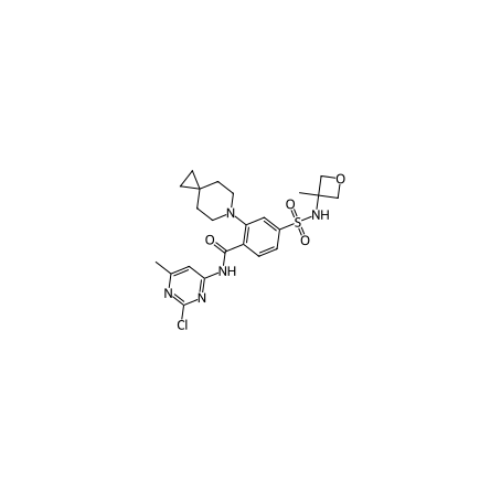 Cc1cc(NC(=O)c2ccc(S(=O)(=O)NC3(C)COC3)cc2N2CCC3(CC2)CC3)nc(Cl)n1